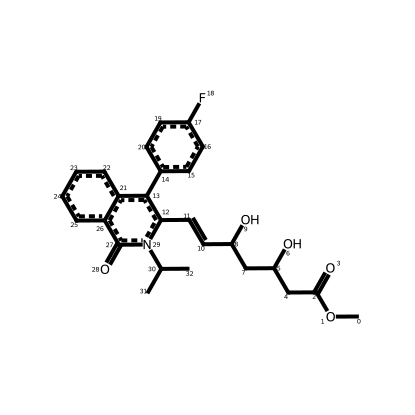 COC(=O)CC(O)CC(O)C=Cc1c(-c2ccc(F)cc2)c2ccccc2c(=O)n1C(C)C